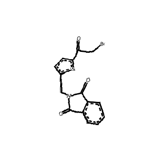 O=C(CBr)c1ccc(CN2C(=O)c3ccccc3C2=O)s1